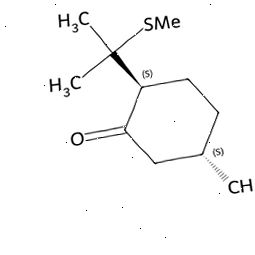 CSC(C)(C)[C@H]1CC[C@H](C)CC1=O